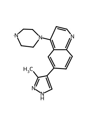 Cc1n[nH]cc1-c1ccc2nccc(N3CC[N]CC3)c2c1